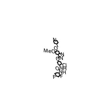 COc1cc2c(Oc3ccc(NC(=O)Nc4ccc(F)cc4F)c(Cl)c3)ncnc2cc1OCc1ccncc1